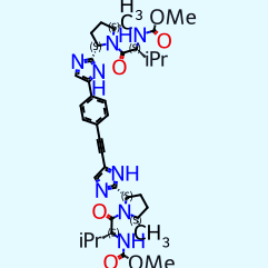 COC(=O)N[C@H](C(=O)N1[C@@H](C)CC[C@H]1c1ncc(C#Cc2ccc(-c3cnc([C@@H]4CC[C@H](C)N4C(=O)[C@@H](NC(=O)OC)C(C)C)[nH]3)cc2)[nH]1)C(C)C